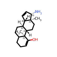 C[C@]12CC[C@H]3[C@@H](CCC4CCC=C(O)[C@@]43C)[C@@H]1C=C[C@@H]2N